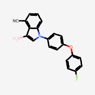 Bc1cn(-c2ccc(Oc3ccc(F)cc3)cc2)c2cccc(C#N)c12